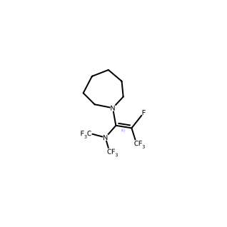 F/C(=C(\N1CCCCCC1)N(C(F)(F)F)C(F)(F)F)C(F)(F)F